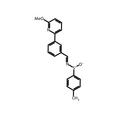 COc1cccc(-c2cccc(/C=N/[S+]([O-])c3ccc(C)cc3)c2)n1